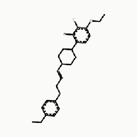 CCOc1ccc(C2CCC(/C=C/CCc3ccc(CC)cc3)CC2)c(F)c1F